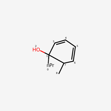 CCCC1(O)C=CC=CC1C